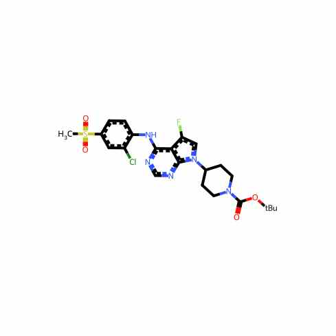 CC(C)(C)OC(=O)N1CCC(n2cc(F)c3c(Nc4ccc(S(C)(=O)=O)cc4Cl)ncnc32)CC1